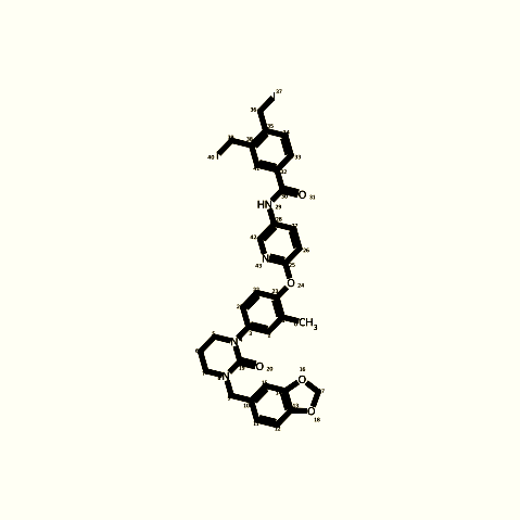 Cc1cc(N2CCCN(Cc3ccc4c(c3)OCO4)C2=O)ccc1Oc1ccc(NC(=O)c2ccc(CI)c(CI)c2)cn1